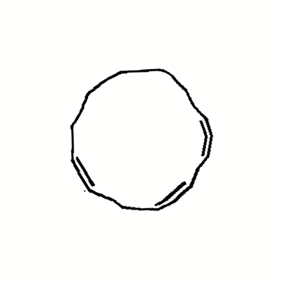 [C]1=CCCCCCC=CC=CC1